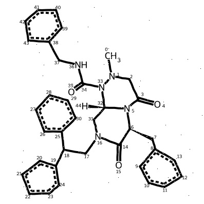 CN1CC(=O)N2[C@@H](Cc3ccccc3)C(=O)N(CC(c3ccccc3)c3ccccc3)C[C@@H]2N1C(=O)NCc1ccccc1